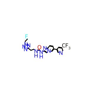 O=C(NCCc1nnn(CCF)n1)Nc1cn2cc(-c3cncc(C(F)(F)F)c3)ccc2n1